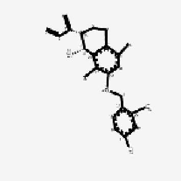 C=CC(=C)[C@@H]1CCc2c(C)cc(OCc3ccc(Cl)cc3Cl)c(C)c2[C@@H]1CC